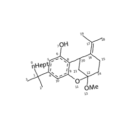 CCCCCCCC(C)(C)c1cc(O)c2c(c1)OC1(OC)CCC(=C(C)C)C2C1